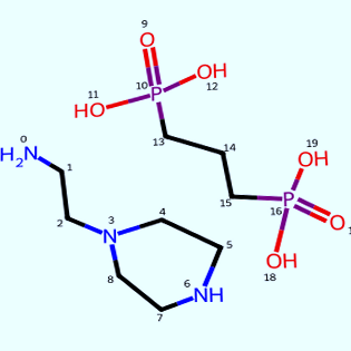 NCCN1CCNCC1.O=P(O)(O)CCCP(=O)(O)O